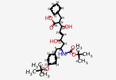 CC(C)(C)OC(=O)NC(Cc1ccc(OC(C)(C)C)cc1)CC(O)C=CC(O)C(Cc1ccccc1)C(=O)O